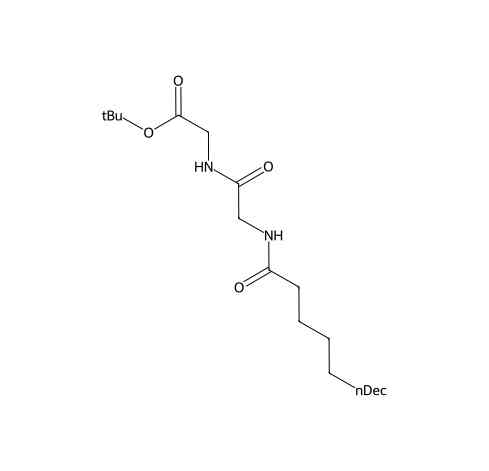 CCCCCCCCCCCCCCC(=O)NCC(=O)NCC(=O)OC(C)(C)C